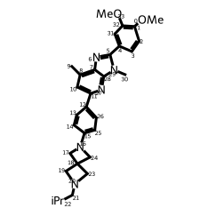 COc1ccc(-c2nc3c(C)cc(-c4ccc(N5CC6(CN(CC(C)C)C6)C5)cc4)nc3n2C)cc1OC